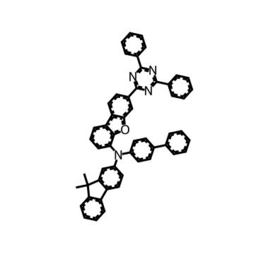 CC1(C)c2ccccc2-c2ccc(N(c3ccc(-c4ccccc4)cc3)c3cccc4c3oc3cc(-c5nc(-c6ccccc6)nc(-c6ccccc6)n5)ccc34)cc21